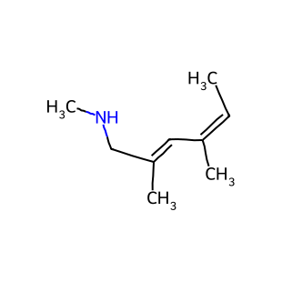 C/C=C(C)\C=C(/C)CNC